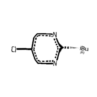 CC[C@@H](C)c1ncc(Cl)cn1